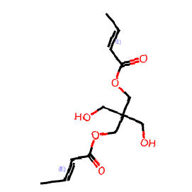 C/C=C/C(=O)OCC(CO)(CO)COC(=O)/C=C/C